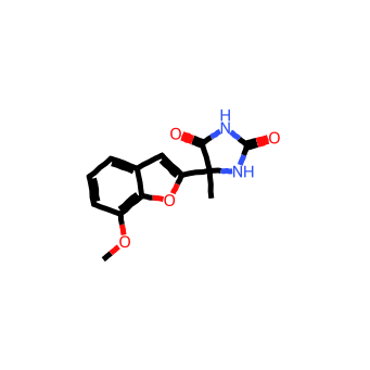 COc1cccc2cc(C3(C)NC(=O)NC3=O)oc12